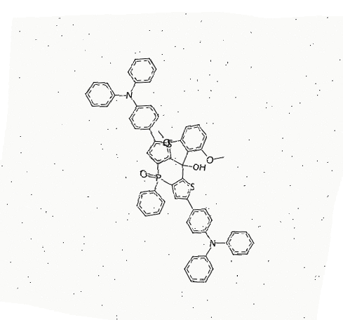 COc1cccc(OC)c1C1(O)c2sc(-c3ccc(N(c4ccccc4)c4ccccc4)cc3)cc2P(=O)(c2ccccc2)c2cc(-c3ccc(N(c4ccccc4)c4ccccc4)cc3)sc21